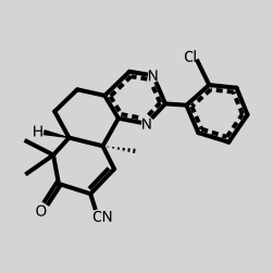 CC1(C)C(=O)C(C#N)=C[C@]2(C)c3nc(-c4ccccc4Cl)ncc3CC[C@@H]12